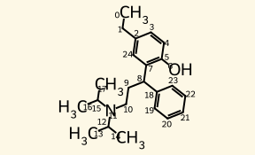 CCc1ccc(O)c(C(CCN(C(C)C)C(C)C)c2ccccc2)c1